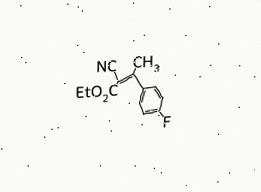 CCOC(=O)/C(C#N)=C(/C)c1ccc(F)cc1